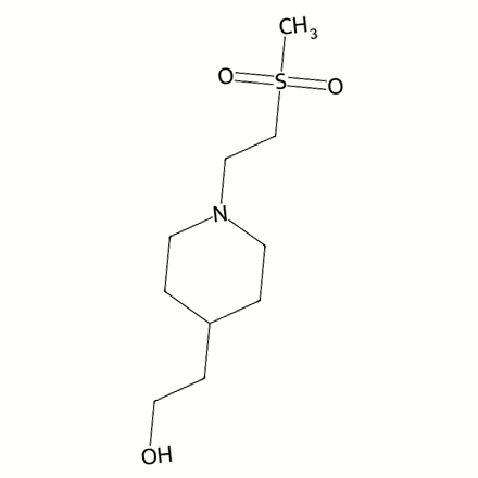 CS(=O)(=O)CCN1CCC(CCO)CC1